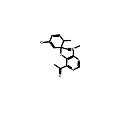 COc1ncnc(C(C)=O)c1OC1(C#N)C=C(Cl)C=CC1C